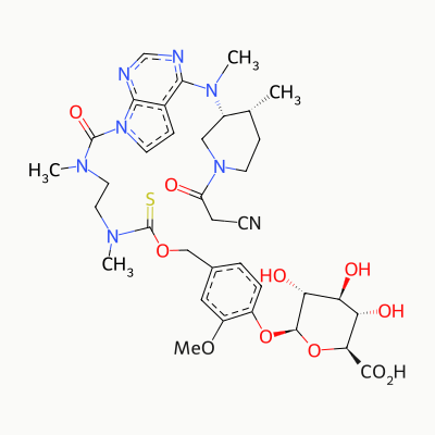 COc1cc(COC(=S)N(C)CCN(C)C(=O)n2ccc3c(N(C)[C@H]4CN(C(=O)CC#N)CC[C@H]4C)ncnc32)ccc1O[C@@H]1O[C@H](C(=O)O)[C@@H](O)[C@H](O)[C@H]1O